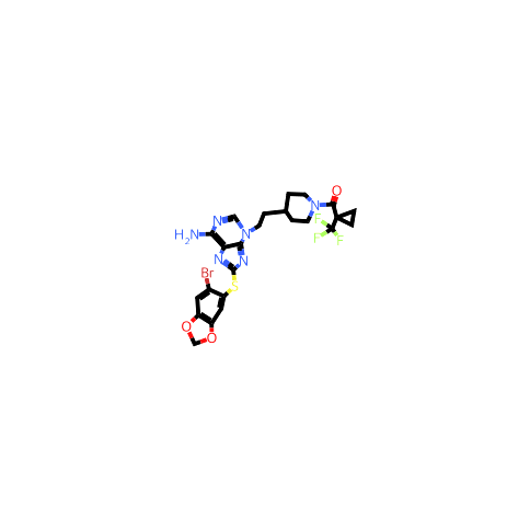 Nc1ncn(CCC2CCN(C(=O)C3(C(F)(F)F)CC3)CC2)c2nc(Sc3cc4c(cc3Br)OCO4)nc1-2